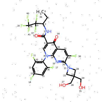 CCC(NC(=O)c1cn(-c2c(F)cc(F)cc2F)c2nc(N3CC(CO)(CO)C3)c(F)cc2c1=O)C(F)(F)C(F)(F)F